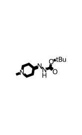 CN1CCC(=NNC(=O)OC(C)(C)C)CC1